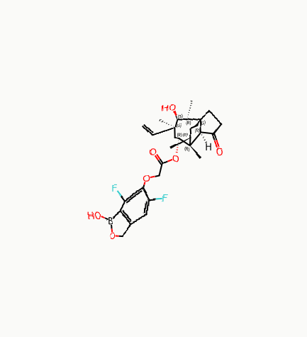 C=C[C@]1(C)C[C@@H](OC(=O)COc2c(F)cc3c(c2F)B(O)OC3)[C@]2(C)[C@H](C)CC[C@]3(CCC(=O)[C@H]32)[C@@H](C)[C@@H]1O